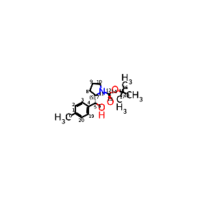 Cc1ccc(C(O)[C@@H]2CCCN2C(=O)OC(C)(C)C)cc1